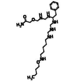 CCCCONCCCCCNCNCNC(Cc1ccccc1)NCNCOCC(N)=O